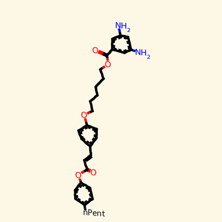 CCCCCc1ccc(OC(=O)C=Cc2ccc(OCCCCCCOC(=O)c3cc(N)cc(N)c3)cc2)cc1